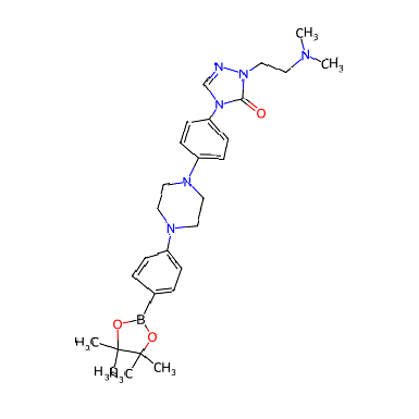 CN(C)CCn1ncn(-c2ccc(N3CCN(c4ccc(B5OC(C)(C)C(C)(C)O5)cc4)CC3)cc2)c1=O